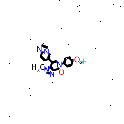 Cn1cnc2c(=O)n(-c3ccc(OCF)cc3)cc(-c3ccc4nccn4c3)c21